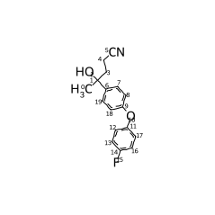 CC(O)(CCC#N)c1ccc(Oc2ccc(F)cc2)cc1